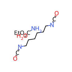 CCOC(N)=O.O.O=C=NCCCCCCN=C=O